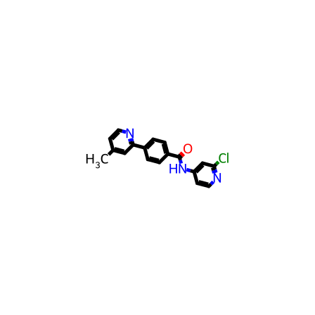 Cc1ccnc(-c2ccc(C(=O)Nc3ccnc(Cl)c3)cc2)c1